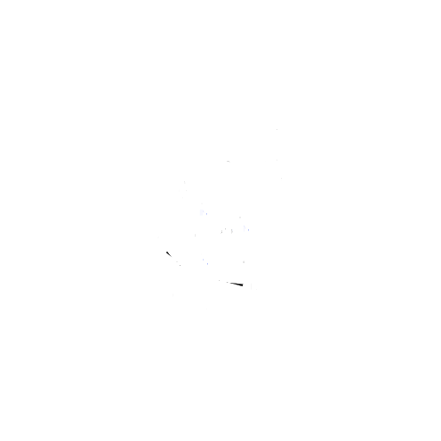 N=C(N)N1[C@@H]2CC[C@H]1C[C@@H](c1c(Cl)cc(Cl)cc1C(=O)O)C2